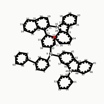 c1ccc(-c2cccc(N(c3ccc(-c4c(-n5c6ccccc6c6ccccc65)ccc5ccccc45)cc3)c3ccc4c5ccccc5n(-c5ccccc5)c4c3)c2)cc1